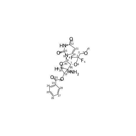 COCC(F)(F)O[C@H]1[C@H](n2ccc(=O)[nH]c2=O)O[C@@H]2C(OC(=O)c3ccccc3)[C@@]21N